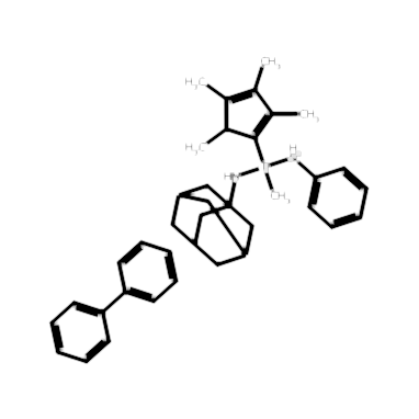 CC1=C(C)C(C)[C]([Ti]([CH3])([NH]C23CC4CC(CC(C4)C2)C3)[SiH2]c2ccccc2)=C1C.c1ccc(-c2ccccc2)cc1